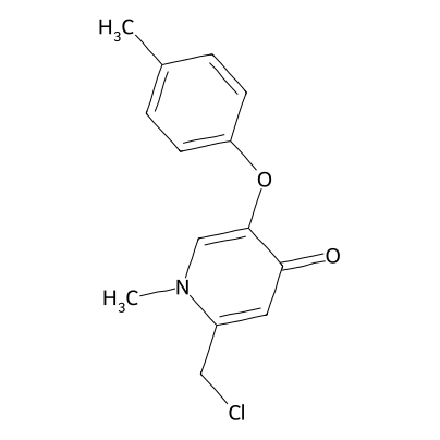 Cc1ccc(Oc2cn(C)c(CCl)cc2=O)cc1